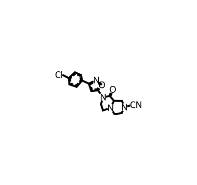 N#CN1CCN2CCN(c3cc(-c4ccc(Cl)cc4)no3)C(=O)C2C1